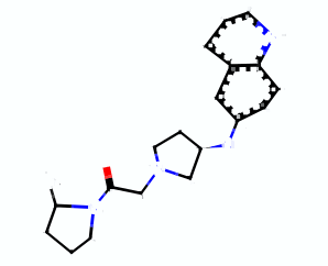 N#CC1CCCN1C(=O)CN1CC[C@@H](Nc2ccc3ncccc3c2)C1